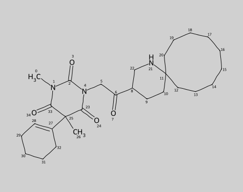 CN1C(=O)N(CC(=O)C2CCC3(CCCCCCCCC3)NC2)C(=O)C(C)(C2=CCCCC2)C1=O